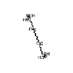 O=C(CCCCCP(=O)(O)O)OCCCCCCOC(=O)CCCCCP(=O)(O)O